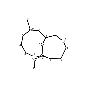 CO[Si]12CCCOCC(CN(C)CCCO1)O2